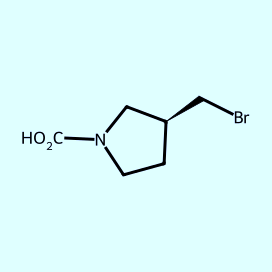 O=C(O)N1CC[C@H](CBr)C1